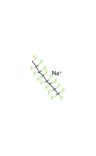 FC(F)(F)C(F)(F)C(F)(F)C(F)(F)C(F)(F)C(F)(F)C(F)(F)C[S-].[Na+]